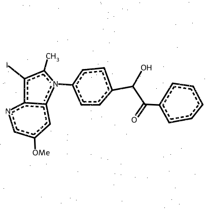 COc1cnc2c(I)c(C)n(-c3ccc(C(O)C(=O)c4ccccc4)cc3)c2c1